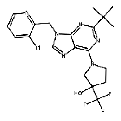 CC(C)(C)c1nc(N2CCC(O)(C(F)(F)F)C2)c2ncn(Cc3ncccc3Cl)c2n1